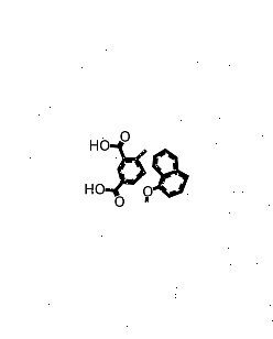 COc1cccc2ccccc12.Cc1ccc(C(=O)O)cc1C(=O)O